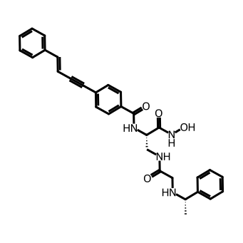 C[C@H](NCC(=O)NC[C@H](NC(=O)c1ccc(C#C/C=C/c2ccccc2)cc1)C(=O)NO)c1ccccc1